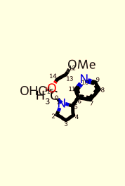 CN1CCCC1c1cccnc1.COCCOC=O